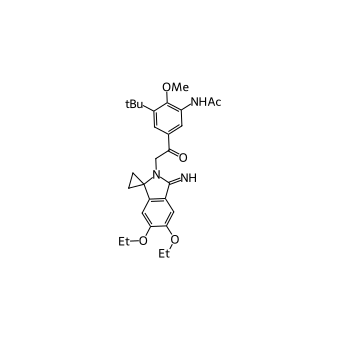 CCOc1cc2c(cc1OCC)C1(CC1)N(CC(=O)c1cc(NC(C)=O)c(OC)c(C(C)(C)C)c1)C2=N